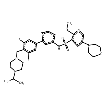 COc1ncc(N2CCOCC2)cc1S(=O)(=O)Nc1ccnc(-c2cc(F)c(CN3CCN(C(C)C)CC3)c(F)c2)c1